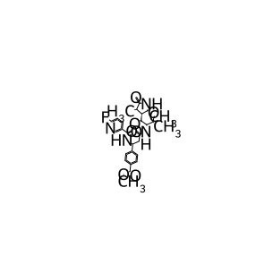 COC(=O)c1ccc(C(CC(=O)N[C@@H](C(=O)[C@@H]2C(=O)NC(=O)[C@@H]2C)C(C)C)NC(=O)c2ccc(F)nc2)cc1